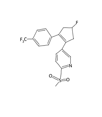 CS(=O)(=O)c1ccc(C2=C(c3ccc(C(F)(F)F)cc3)CC(F)C2)cn1